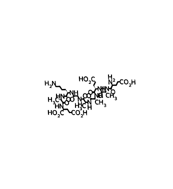 C[C@H](NC(=O)[C@H](C)NC(=O)[C@H](CCC(=O)O)NC(=O)[C@H](C)NC(=O)[C@@H](N)CCC(=O)O)C(=O)NCC(=O)N[C@@H](CCCCN)C(=O)N[C@@H](C)C(=O)N[C@@H](CCC(=O)O)C(=O)O